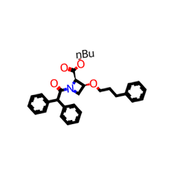 CCCCOC(=O)[C@H]1[C@@H](OCCCc2ccccc2)CN1C(=O)C(c1ccccc1)c1ccccc1